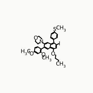 CCCCOc1cc(I)c(-c2ccc(SC)cc2)c2cc(N3CCOCC3)c(-c3ccc(OC)cc3OC)cc12